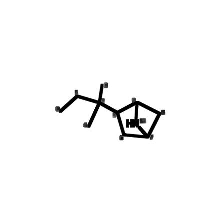 CCC(C)(C)C1CC2CC1N2